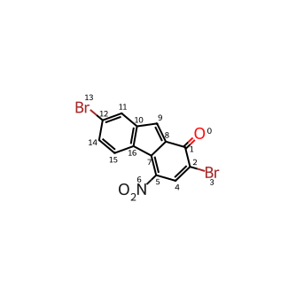 O=C1C(Br)=CC([N+](=O)[O-])=C2C1=Cc1cc(Br)ccc12